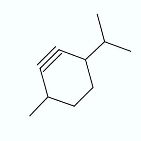 CC1C#CC(C(C)C)CC1